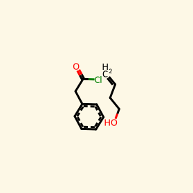 C=CCCO.O=C(Cl)Cc1ccccc1